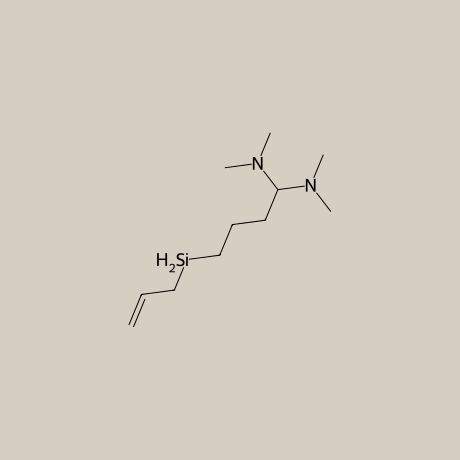 C=CC[SiH2]CCCC(N(C)C)N(C)C